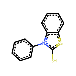 Sc1sc2ccccc2[n+]1-c1ccccc1